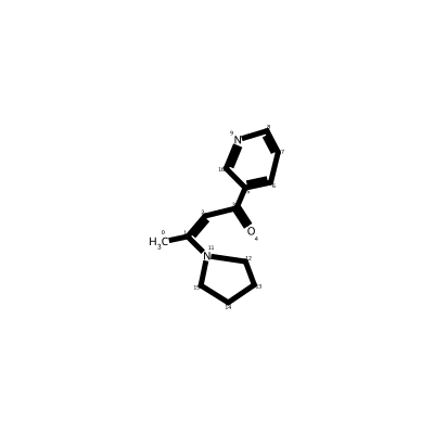 CC(=CC(=O)c1cccnc1)N1CCCC1